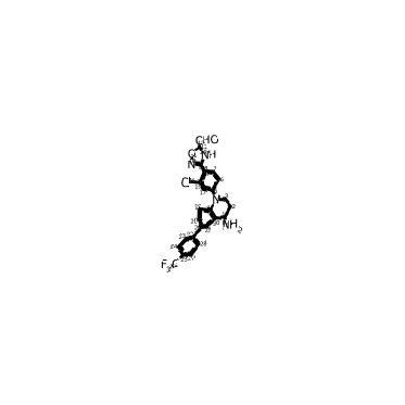 NC1CCN(c2ccc(C3=NOC(C=O)N3)c(Cl)c2)c2ccc(-c3ccc(C(F)(F)F)cc3)cc21